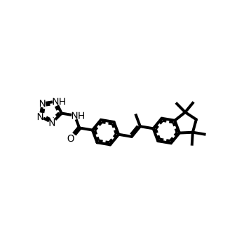 CC(=Cc1ccc(C(=O)Nc2nnn[nH]2)cc1)c1ccc2c(c1)C(C)(C)CC2(C)C